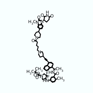 Cc1ccc(N[C@H]2CN(C(=O)OC(C)(C)C)CC2(F)F)cc1C(=O)N[C@H](C)c1ccc(C#CC2CCN(CCCCC(=O)N3CCC(c4ccc5c(c4)n(C)c(=O)n5C4CCC(=O)NC4=O)CC3)CC2)c2ccccc12